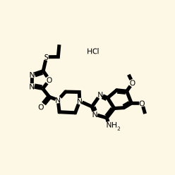 CCSc1nnc(C(=O)N2CCN(c3nc(N)c4cc(OC)c(OC)cc4n3)CC2)o1.Cl